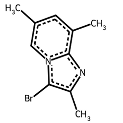 Cc1cc(C)c2nc(C)c(Br)n2c1